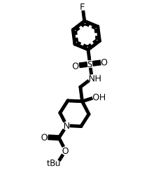 CC(C)(C)OC(=O)N1CCC(O)(CNS(=O)(=O)c2ccc(F)cc2)CC1